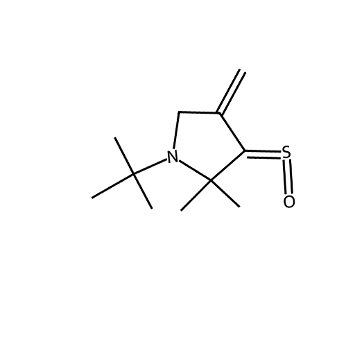 C=C1CN(C(C)(C)C)C(C)(C)C1=S=O